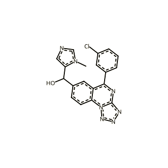 Cn1cncc1C(O)c1ccc2c(c1)c(-c1cccc(Cl)c1)nc1nnnn12